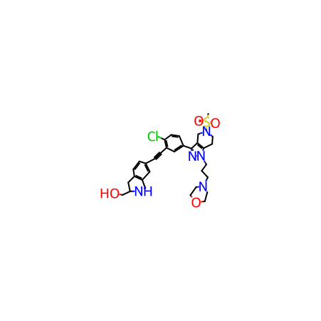 CS(=O)(=O)N1CCc2c(c(-c3ccc(Cl)c(C#Cc4ccc5c(c4)CNC(CO)C5)c3)nn2CCCN2CCOCC2)C1